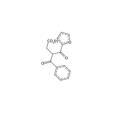 CCOC(=O)CC(C(=O)c1ccccc1)C(=O)c1ccco1